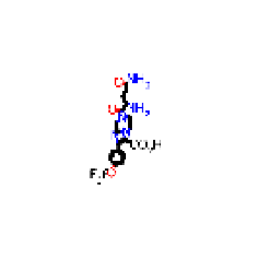 NC(=O)CC[C@H](N)C(=O)N1CCn2c(nc(-c3ccc(OC(F)(F)F)cc3)c2C(=O)O)C1